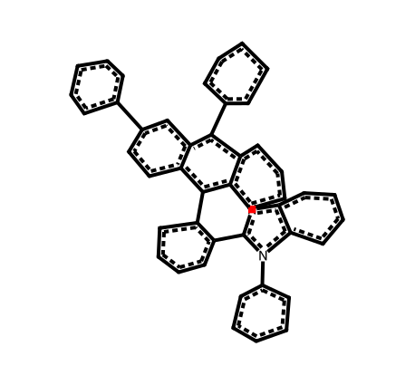 c1ccc(-c2ccc3c(-c4ccccc4-c4nc5ccccc5n4-c4ccccc4)c4ccccc4c(-c4ccccc4)c3c2)cc1